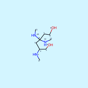 CNC(CO)CC(CCO)(NC)NC